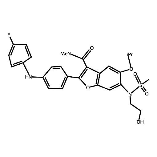 CNC(=O)c1c(-c2ccc(Nc3ccc(F)cc3)cc2)oc2cc(N(CCO)S(C)(=O)=O)c(OC(C)C)cc12